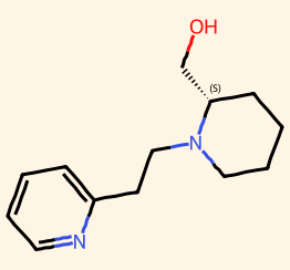 OC[C@@H]1CCCCN1CCc1ccccn1